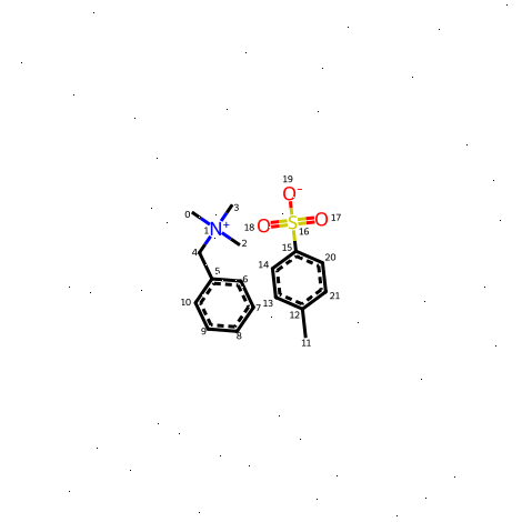 C[N+](C)(C)Cc1ccccc1.Cc1ccc(S(=O)(=O)[O-])cc1